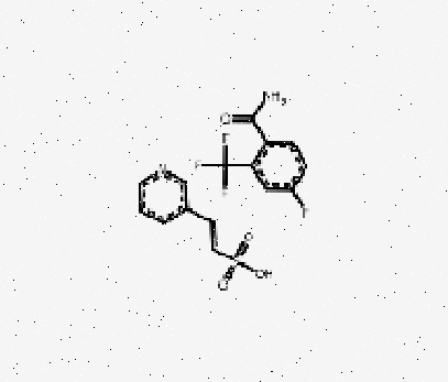 NC(=O)c1ccc(F)cc1C(F)(F)F.O=S(=O)(O)C=Cc1cccnc1